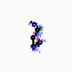 CN(C)C1CCN(Cc2ccc(NC(=O)Nc3cccc(C#Cc4cnc(N)nc4-c4cc5c(n4C)CCNC5=O)c3)cc2C(F)(F)F)CC1